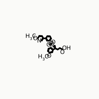 COc1ccc2c(c1)c(CCC(=O)O)cn2S(=O)(=O)c1cccc(-c2ccc(OC)nc2)c1